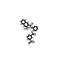 O=C(Oc1ccccc1NC(=O)c1cc2ccccc2cc1O)c1cccc([N+](=O)[O-])c1